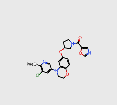 COc1ncc(N2CCOc3ccc(O[C@H]4CCN(C(=O)c5cnco5)C4)cc32)cc1Cl